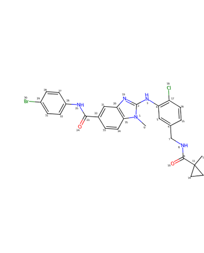 Cn1c(Nc2cc(CNC(=O)C3(C)CC3)ccc2Cl)nc2cc(C(=O)Nc3ccc(Br)cc3)ccc21